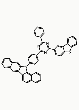 c1ccc(-c2nc(-c3ccc(-n4c5cc6ccccc6cc5c5ccc6ccccc6c54)cc3)nc(-c3ccc4sc5ccccc5c4c3)n2)cc1